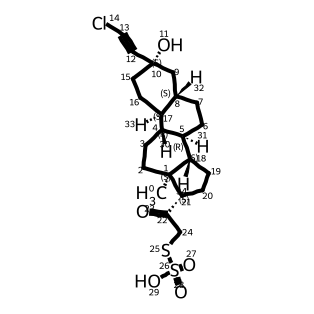 C[C@]12CC[C@H]3[C@@H](CC[C@H]4C[C@](O)(C#CCl)CC[C@@H]43)[C@@H]1CC[C@@H]2C(=O)CSS(=O)(=O)O